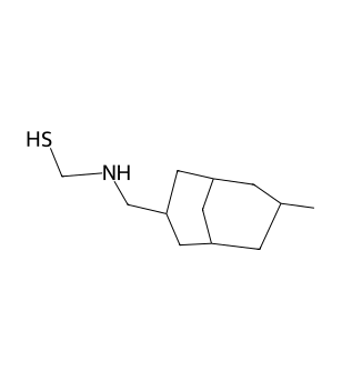 CC1CC2CC(CNCS)CC(C1)C2